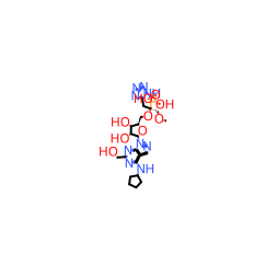 COC[C@@](Cc1nnn[nH]1)(OC[C@H]1O[C@@H](n2ncc3c(NC4CCCC4)nc(CO)nc32)[C@H](O)[C@@H]1O)P(=O)(O)O